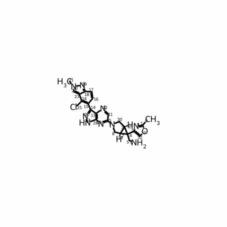 Cc1nc(C2(CN)[C@@H]3CN(c4cnc5c(-c6ccc7nn(C)cc7c6Cl)n[nH]c5n4)C[C@@H]32)co1